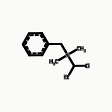 CCC(Cl)[Si](C)(C)Cc1ccccc1